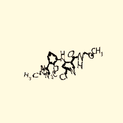 COCNC(=O)c1cnc(Cl)cc1Nc1cccc(-c2cnn(C)n2)c1OC